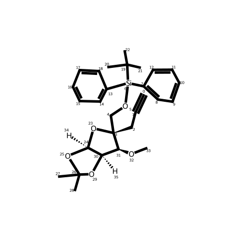 C#CC[C@]1(CO[Si](c2ccccc2)(c2ccccc2)C(C)(C)C)O[C@@H]2OC(C)(C)O[C@@H]2[C@@H]1OC